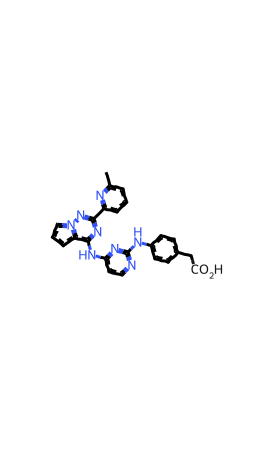 Cc1cccc(-c2nc(Nc3ccnc(Nc4ccc(CC(=O)O)cc4)n3)c3cccn3n2)n1